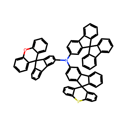 c1ccc2c(c1)Oc1ccccc1C21c2ccccc2-c2cc(N(c3ccc4c(c3)-c3ccccc3C43c4ccccc4Sc4ccccc43)c3ccc4c(c3)C3(c5ccccc5-c5ccccc53)c3ccccc3-4)ccc21